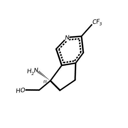 N[C@@]1(CO)CCc2cc(C(F)(F)F)ncc21